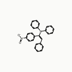 O=[N+]([O-])c1ccc(C(=Cc2ccccc2)N(c2ccccc2)c2ccccc2)cc1